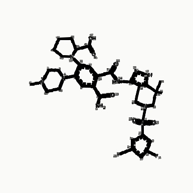 CN1CCN(c2cc(C(N)=O)c(C(=O)Nc3n[nH]c4c3CN(S(=O)(=O)c3cc(F)cc(F)c3)CC4(C)C)cc2N2CCCCC2C(=O)O)CC1